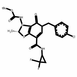 C[C@H]1SC2=C(C(=O)C(Cc3ccc(Cl)cc3)C=C2C(=O)NC2CC2(F)F)N1NC(=O)OC(C)(C)C